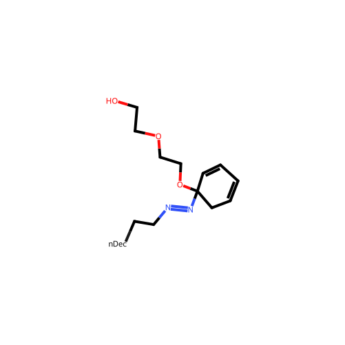 CCCCCCCCCCCCN=NC1(OCCOCCO)C=CC=CC1